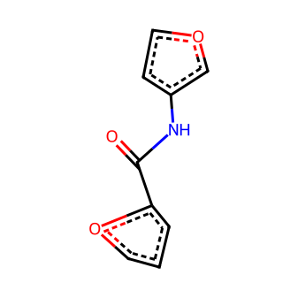 O=C(Nc1ccoc1)c1ccco1